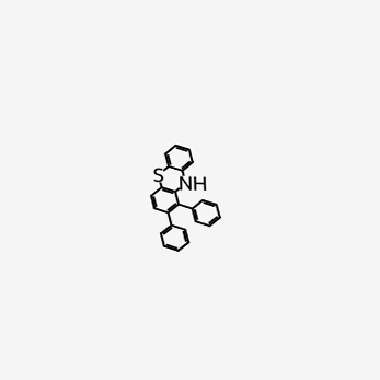 c1ccc(-c2ccc3c(c2-c2ccccc2)Nc2ccccc2S3)cc1